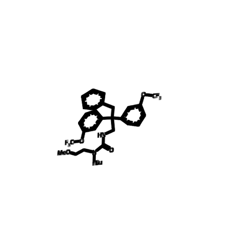 CCCCN(CCOC)C(=O)NCC(Cc1ccccc1)(c1cccc(OC(F)(F)F)c1)c1cccc(OC(F)(F)F)c1